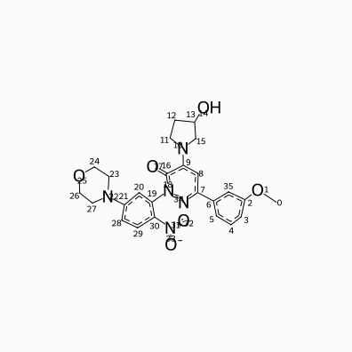 COc1cccc(-c2cc(N3CCC(O)C3)c(=O)n(-c3cc(N4CCOCC4)ccc3[N+](=O)[O-])n2)c1